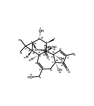 CCCC(=O)O[C@@]12[C@H](O)[C@@H](C)[C@@]3(O)[C@@H](C=C(CO)C[C@]4(O)C(=O)C(C)=C[C@]34O)[C@@H]1C2(C)C